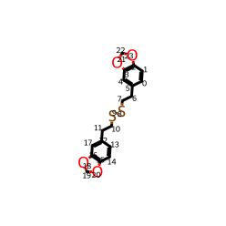 c1cc2c(cc1CCSSCCc1ccc3c(c1)OCO3)OCO2